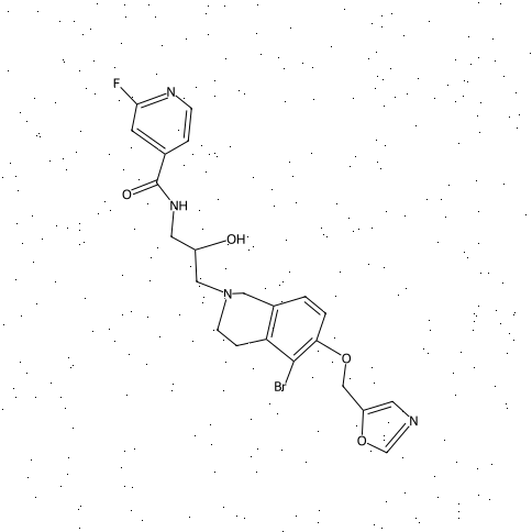 O=C(NCC(O)CN1CCc2c(ccc(OCc3cnco3)c2Br)C1)c1ccnc(F)c1